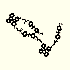 CC(C)(c1ccc(O)cc1)c1ccc(OC(=O)CCOc2ccc(C3(c4ccc(OCCC(=O)Oc5ccc(C(C)(C)c6ccc(OC(=O)CCOc7ccc(C8(c9ccc(OCCC(=O)Oc%10ccc(C(C)(C)c%11ccc(O)cc%11)cc%10)cc9)c9ccccc9-c9ccccc98)cc7)cc6)cc5)cc4)c4ccccc4-c4ccccc43)cc2)cc1